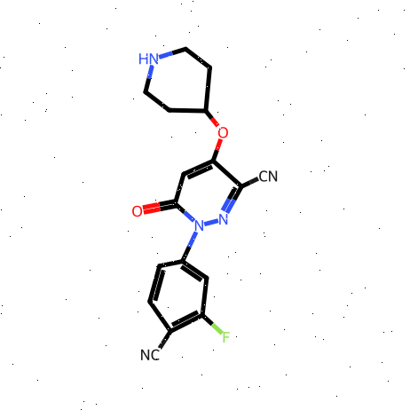 N#Cc1ccc(-n2nc(C#N)c(OC3CCNCC3)cc2=O)cc1F